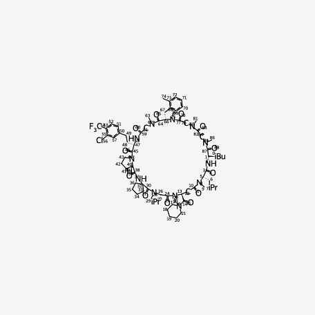 CC[C@H](C)[C@@H]1NC(=O)[C@H](CC(C)C)N(C)C(=O)C[C@@H](C(=O)N2CCCCC2)N(C)C(=O)[C@H](C(C)C)N(C)C(=O)C2(CCCC2)NC(=O)[C@@H]2CCCN2C(=O)[C@H](CCc2ccc(C(F)(F)F)c(Cl)c2)NC(=O)CN(C)C(=O)[C@H](Cc2ccccc2C)N(C)C(=O)CN(C)C(=O)CN(C)C1=O